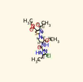 CCOC(=O)c1sc(N2CCC(NC(=O)c3nc(Cl)c(CC)[nH]3)C(OCC)C2)nc1C(=O)CC